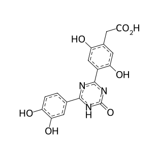 O=C(O)Cc1cc(O)c(-c2nc(-c3ccc(O)c(O)c3)[nH]c(=O)n2)cc1O